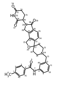 Cc1ccc(C(=O)Nc2cccc(CN3CCC4(CC3)OCc3c4ccc4c3CN(C3CCC(=O)NC3=O)C4=O)c2)cc1